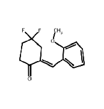 COc1ccccc1C=C1CC(F)(F)CCC1=O